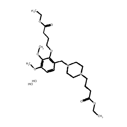 CCOC(=O)CCCOc1c(CN2CCN(CCCC(=O)OCC)CC2)ccc(OC)c1OC.Cl.Cl